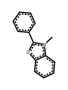 C[n+]1c(-c2ccccc2)oc2ccccc21